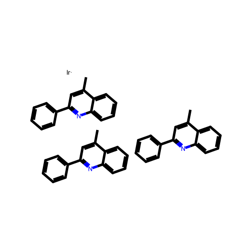 Cc1cc(-c2ccccc2)nc2ccccc12.Cc1cc(-c2ccccc2)nc2ccccc12.Cc1cc(-c2ccccc2)nc2ccccc12.[Ir]